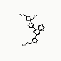 COC1CC(CC#N)(n2cc(-c3nc(-c4cnn(CCO)c4)cc4ncccc34)cn2)C1